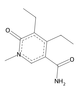 CCc1c(C(N)=O)cn(C)c(=O)c1CC